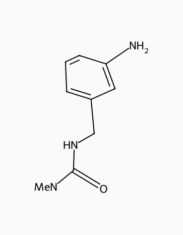 CNC(=O)NCc1cccc(N)c1